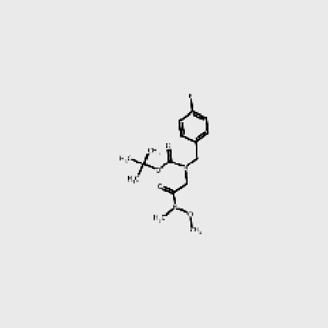 CON(C)C(=O)CN(Cc1ccc(F)cc1)C(=O)OC(C)(C)C